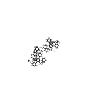 CC(C)(C)c1ccccc1-c1cc2c(c3c1oc1ccccc13)-c1ccc(CCC(c3ccc4c(c3)C(C)(C)c3c-4c4c(c5c3C(C)(C)c3ccccc3-5)COc3ccccc3-4)c3cccc4oc5ccccc5c34)cc1C2(C)C